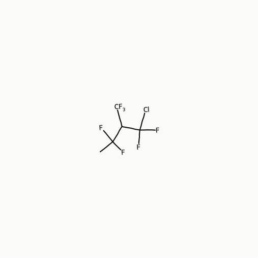 CC(F)(F)C(C(F)(F)F)C(F)(F)Cl